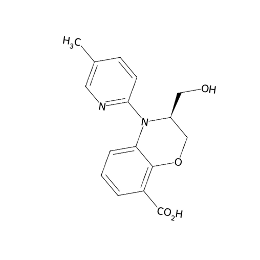 Cc1ccc(N2c3cccc(C(=O)O)c3OC[C@@H]2CO)nc1